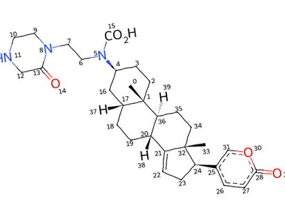 C[C@]12CC[C@H](N(CCN3CCNCC3=O)C(=O)O)C[C@H]1CC[C@H]1C3=CC[C@H](c4ccc(=O)oc4)[C@@]3(C)CC[C@@H]12